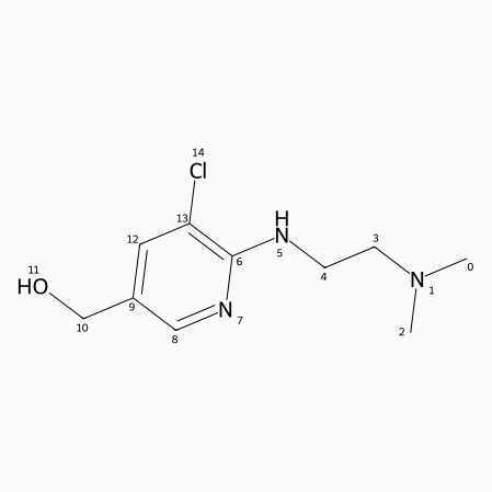 CN(C)CCNc1ncc(CO)cc1Cl